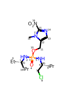 CC[C@H](NP(=O)(N[C@@H](CCl)C(C)C)OCc1cnc([N+](=O)[O-])n1C)C(C)C